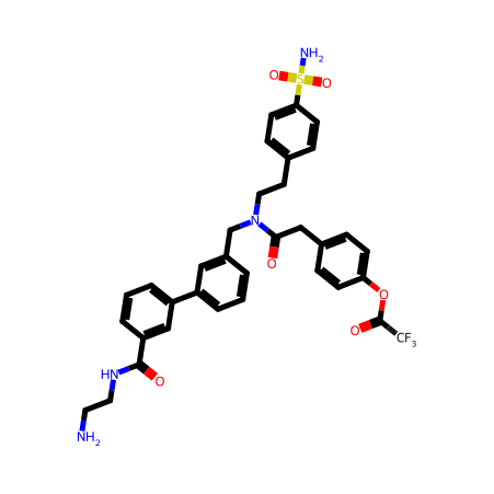 NCCNC(=O)c1cccc(-c2cccc(CN(CCc3ccc(S(N)(=O)=O)cc3)C(=O)Cc3ccc(OC(=O)C(F)(F)F)cc3)c2)c1